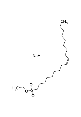 CCCCCCCC/C=C\CCCCCCCCS(=O)(=O)OCC.[NaH]